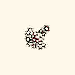 c1ccc(-c2ccc(-c3nc(-c4ccc(-c5ccccc5)cc4)nc(-c4cccc5cccc(-c6ccc7c(c6)C6(c8cc(-c9cccc%10cccc(-c%11nc(-c%12ccc(-c%13ccccc%13)cc%12)nc(-c%12ccc(-c%13ccccc%13)cc%12)n%11)c9%10)ccc8-7)C7CC8CC9CC6C97C8)c45)n3)cc2)cc1